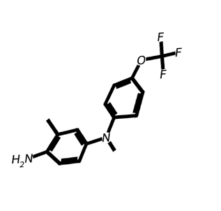 Cc1cc(N(C)c2ccc(OC(F)(F)F)cc2)ccc1N